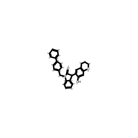 O=C1C(c2cc3c(cc2O)OCCC3)c2ccccc2N1Cc1ccc(-c2ccccc2)cc1